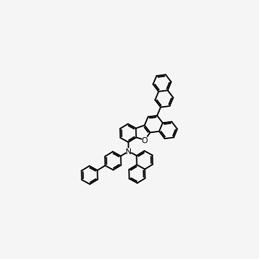 c1ccc(-c2ccc(N(c3cccc4ccccc34)c3cccc4c3oc3c5ccccc5c(-c5ccc6ccccc6c5)cc43)cc2)cc1